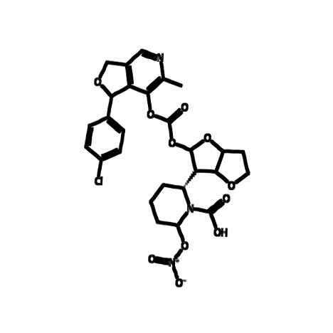 Cc1ncc2c(c1OC(=O)OC1OC3CCOC3C1[C@H]1CCCC(O[N+](=O)[O-])N1C(=O)O)C(c1ccc(Cl)cc1)OC2